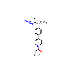 CO[C@H](c1ccc(C2=CCN(C(=O)COC(C)=O)CC2)cc1)[C@@H](CF)N=[N+]=[N-]